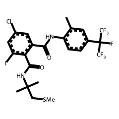 CSCC(C)(C)NC(=O)c1c(I)cc(Cl)cc1C(=O)Nc1ccc(C(F)(C(F)(F)F)C(F)(F)F)cc1C